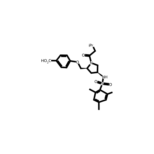 Cc1cc(C)c(S(=O)(=O)N[C@H]2C[C@@H](COc3ccc(C(=O)O)cc3)N(C(=O)CC(C)C)C2)c(C)c1